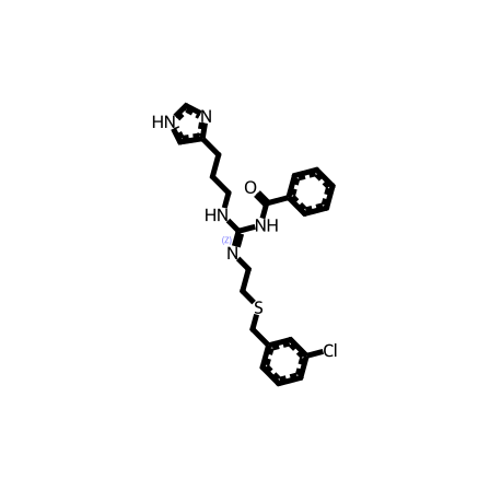 O=C(N/C(=N\CCSCc1cccc(Cl)c1)NCCCc1c[nH]cn1)c1ccccc1